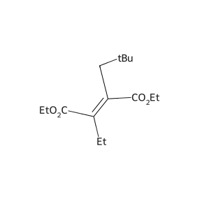 CCOC(=O)C(CC)=C(CC(C)(C)C)C(=O)OCC